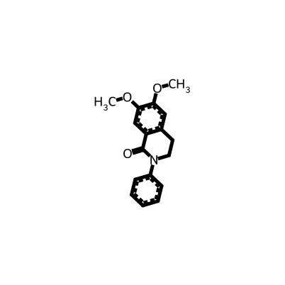 COc1cc2c(cc1OC)C(=O)N(c1ccccc1)CC2